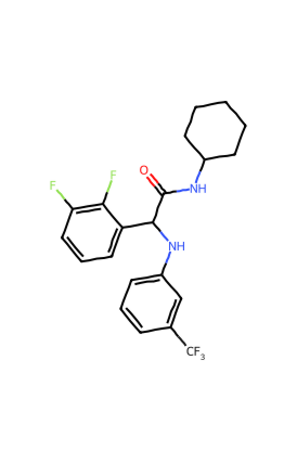 O=C(NC1CCCCC1)C(Nc1cccc(C(F)(F)F)c1)c1cccc(F)c1F